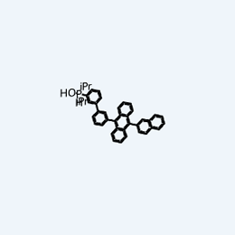 CC(C)[PH](O)(c1cccc(-c2cccc(-c3c4ccccc4c(-c4ccc5ccccc5c4)c4ccccc34)c2)c1)C(C)C